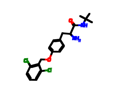 CC(C)(C)NC(=O)C(N)Cc1ccc(OCc2c(Cl)cccc2Cl)cc1